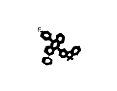 CC1(C)c2ccccc2-c2cc(-c3c4ccccc4c(-c4ccc(F)cc4)c4ccc([C@H]5C=CC=CC5)cc34)ccc21